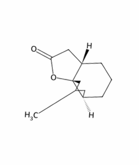 CC1C[C@H]2CCC[C@H]3CC(=O)O[C@@]23C1